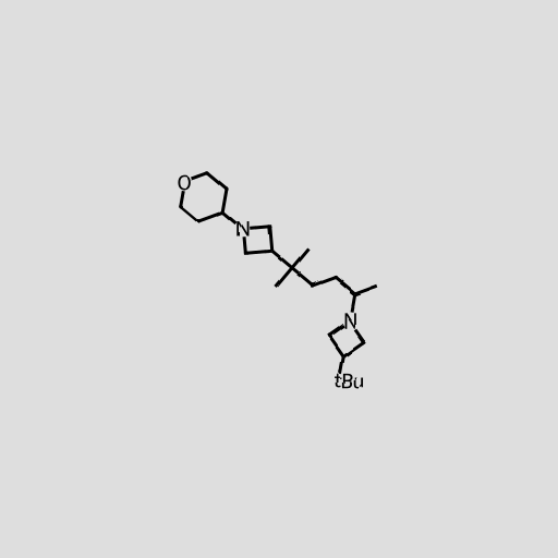 CC(CCC(C)(C)C1CN(C2CCOCC2)C1)N1CC(C(C)(C)C)C1